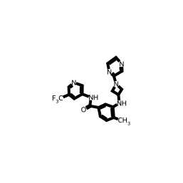 Cc1ccc(C(=O)Nc2cncc(C(F)(F)F)c2)cc1NC1CN(c2cnccn2)C1